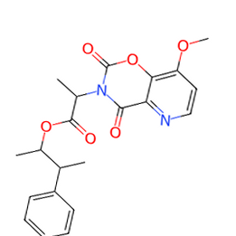 COc1ccnc2c(=O)n(C(C)C(=O)OC(C)C(C)c3ccccc3)c(=O)oc12